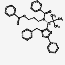 CC(C)(C)[C@H](c1nc(-c2ccccc2)cn1Cc1ccccc1)N(CCCOC(=O)c1ccccc1)C(=O)c1ccccc1